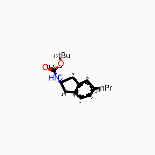 CCCc1ccc2c(c1)CC(NC(=O)OC(C)(C)C)C2